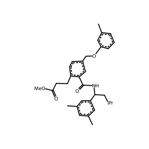 COC(=O)CCc1ccc(COc2cccc(C)c2)cc1C(=O)NC(CC(C)C)c1cc(C)cc(C)c1